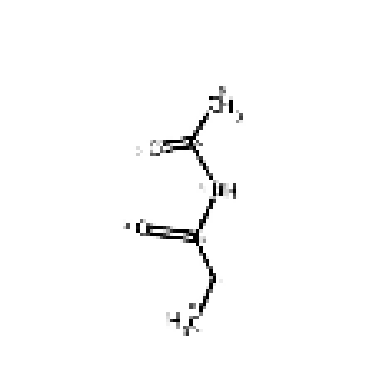 CCC(=O)BC(C)=O